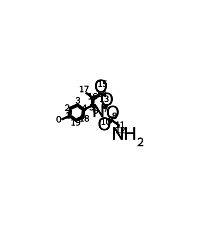 Cc1ccc(-c2nc(OC(=O)CN)oc(=O)c2C)cc1